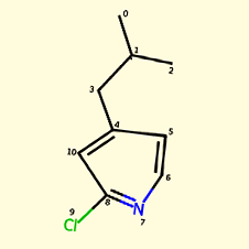 C[C](C)Cc1ccnc(Cl)c1